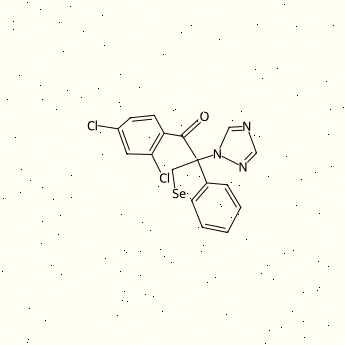 O=C(c1ccc(Cl)cc1Cl)C(C[Se])(c1ccccc1)n1cncn1